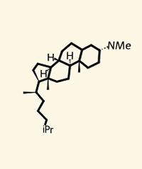 CN[C@@H]1CC[C@@]2(C)C(CC[C@H]3[C@@H]4CC[C@H]([C@H](C)CCCC(C)C)[C@@]4(C)CC[C@@H]32)C1